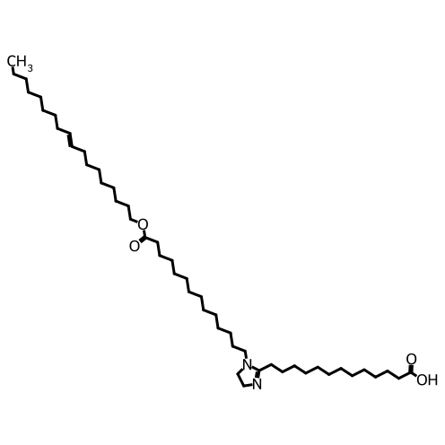 CCCCCCCCC=CCCCCCCCCOC(=O)CCCCCCCCCCCCCN1CCN=C1CCCCCCCCCCCCC(=O)O